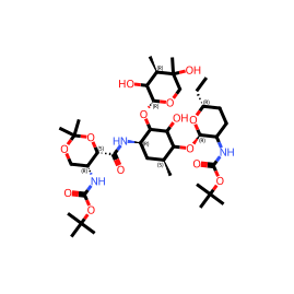 CC[C@@H]1CCC(NC(=O)OC(C)(C)C)[C@@H](OC2C(O)C(O[C@H]3OCC(C)(O)[C@H](C)C3O)[C@H](NC(=O)[C@H]3OC(C)(C)OC[C@H]3NC(=O)OC(C)(C)C)C[C@@H]2C)O1